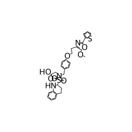 COc1oc(-c2cccs2)nc1CCOc1ccc(CN(CC(=O)O)S(=O)(=O)C2CCc3ccccc3N2)cc1